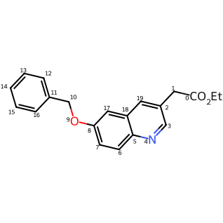 CCOC(=O)Cc1cnc2ccc(OCc3ccccc3)cc2c1